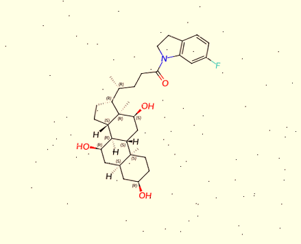 C[C@H](CCC(=O)N1CCc2ccc(F)cc21)[C@H]1CC[C@H]2[C@@H]3[C@H](O)C[C@@H]4C[C@H](O)CC[C@]4(C)[C@H]3C[C@H](O)[C@]12C